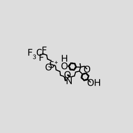 CC1(c2ccc(O)cc2)COc2cc(O)ccc2C1CCc1ncc(CCCC[S+]([O-])CCCC(F)(F)C(F)(F)F)o1